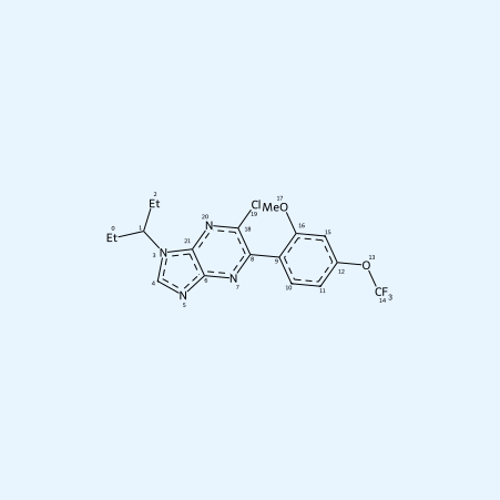 CCC(CC)n1cnc2nc(-c3ccc(OC(F)(F)F)cc3OC)c(Cl)nc21